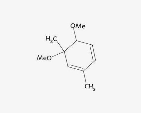 COC1C=CC(C)=CC1(C)OC